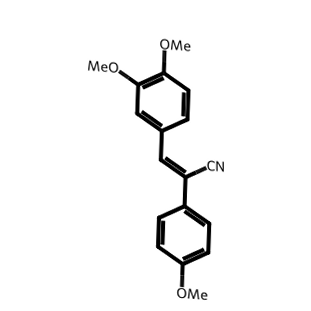 COc1ccc(C(C#N)=Cc2ccc(OC)c(OC)c2)cc1